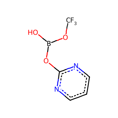 OB(Oc1ncccn1)OC(F)(F)F